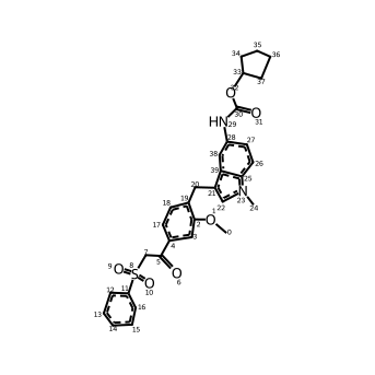 COc1cc(C(=O)CS(=O)(=O)c2ccccc2)ccc1Cc1cn(C)c2ccc(NC(=O)OC3CCCC3)cc12